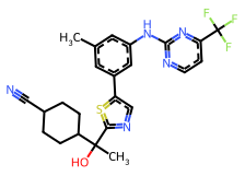 Cc1cc(Nc2nccc(C(F)(F)F)n2)cc(-c2cnc(C(C)(O)C3CCC(C#N)CC3)s2)c1